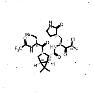 CC(C)(C)C[C@H](NC(=O)C(F)(F)F)C(=O)N1C[C@H]2[C@@H]([C@H]1C(=O)NN(C[C@@H]1CCNC1=O)C(=O)[C@H](F)Cl)C2(C)C